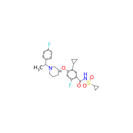 CC(c1ccc(F)cc1)N1CCC[C@@H](Oc2cc(F)c(C(=O)NS(=O)(=O)C3CC3)cc2C2CC2)C1